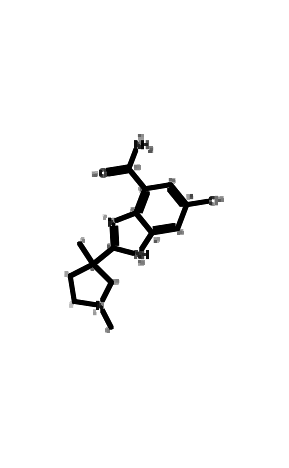 CN1CCC(C)(c2nc3c(C(N)=O)cc(Cl)cc3[nH]2)C1